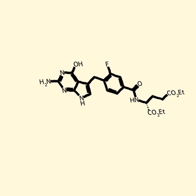 CCOC(=O)CC[C@@H](NC(=O)c1ccc(Cc2c[nH]c3nc(N)nc(O)c23)c(F)c1)C(=O)OCC